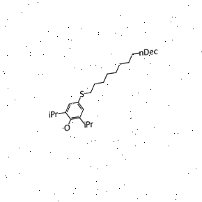 CCCCCCCCCCCCCCCCCCSc1cc(C(C)C)c([O])c(C(C)C)c1